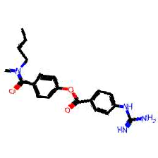 CCCCN(C)C(=O)c1ccc(OC(=O)c2ccc(NC(=N)N)cc2)cc1